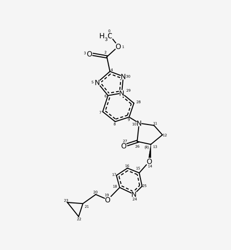 COC(=O)c1nc2ccc(N3CC[C@@H](Oc4ccc(OCC5CC5)nc4)C3=O)cn2n1